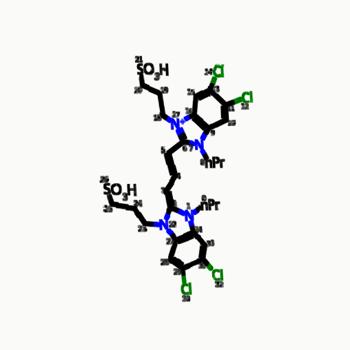 CCCN1C(=CC=Cc2n(CCC)c3cc(Cl)c(Cl)cc3[n+]2CCCS(=O)(=O)O)N(CCCS(=O)(=O)O)c2cc(Cl)c(Cl)cc21